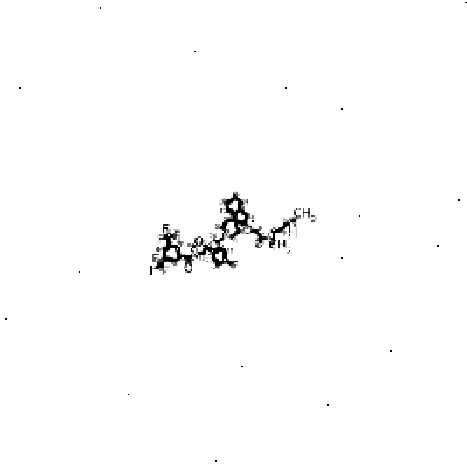 CNCCCN(C)C(=O)CO[C@H]1Cc2ccccc2C12CCN(CC[C@]1(c3ccc(F)cc3)CN(C(=O)c3cc(C(F)(F)F)cc(C(F)(F)F)c3)CO1)CC2